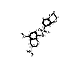 COc1ccc(NS(=O)(=O)c2ccc3c(c2)OCCO3)c2c1C[C@@H](N(C)C)CO2